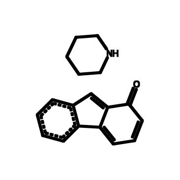 C1CCNCC1.O=C1C=CC=C2C1=Cc1ccccc12